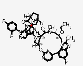 CCO[C@H]1CN(C)C(=O)[C@@H]2C[C@@H](CN2c2nc(N3[C@@H]4CC[C@H]3C(=O)N(C3CC3)C4)nc3c2cnn3-c2ccc(F)cc2F)Oc2nccc(n2)-c2cc(F)cc3nc(C)n(c23)C1